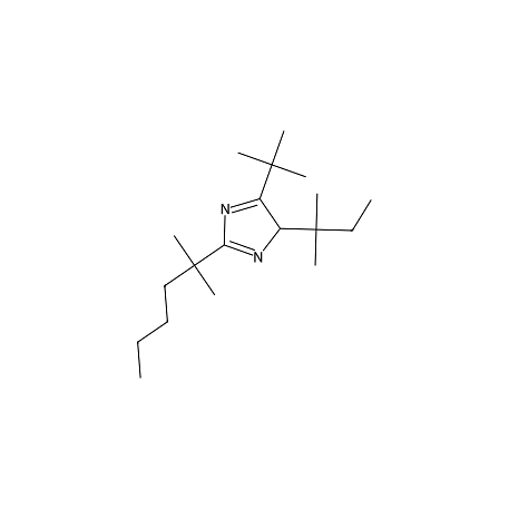 CCCCC(C)(C)C1=NC(C(C)(C)CC)C(C(C)(C)C)=N1